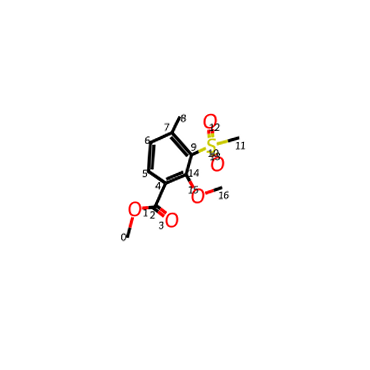 COC(=O)c1ccc(C)c(S(C)(=O)=O)c1OC